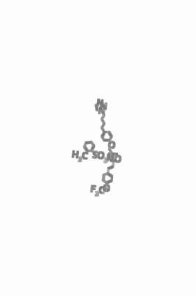 Cc1ccccc1S(=O)(=O)O.FC(F)(F)Oc1ccc(C=Cc2nc(COc3ccc(CCCCn4ccnn4)cc3)co2)cc1